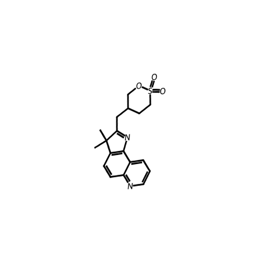 CC1(C)C(CC2CCS(=O)(=O)OC2)=Nc2c1ccc1ncccc21